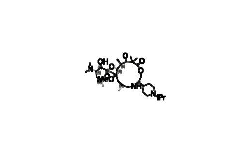 CO[C@]1(C)C[C@@H](C)CN[C@H](C2CCN(C(C)C)CC2)COC(=O)C(C)(C)C(=O)[C@H](C)[C@H]1O[C@@H]1O[C@H](C)C[C@H](N(C)C)[C@H]1O